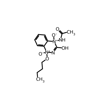 CCCCO[N+]1([O-])N=C(O)[N+]([O-])(NC(C)=O)c2ccccc21